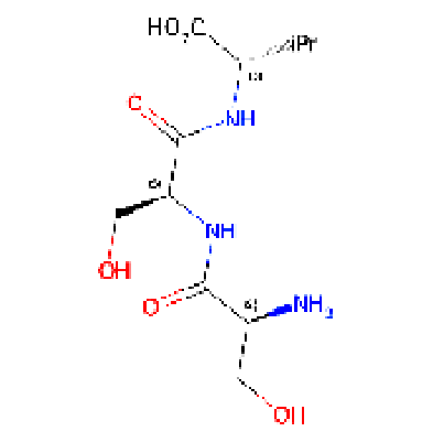 CC(C)[C@H](NC(=O)[C@H](CO)NC(=O)[C@@H](N)CO)C(=O)O